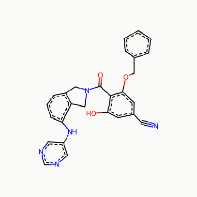 N#Cc1cc(O)c(C(=O)N2Cc3cccc(Nc4cncnc4)c3C2)c(OCc2ccccc2)c1